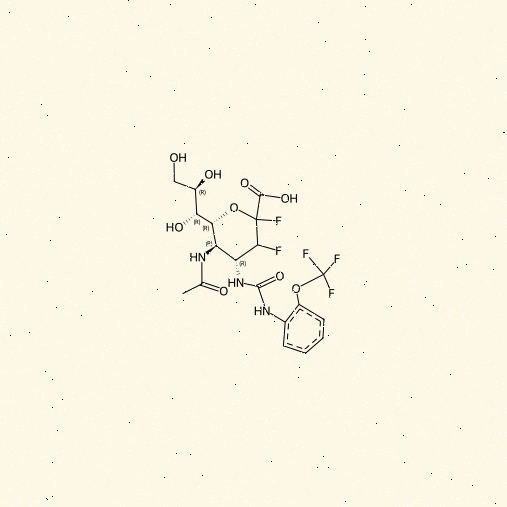 CC(=O)N[C@H]1[C@H]([C@H](O)[C@H](O)CO)OC(F)(C(=O)O)C(F)[C@@H]1NC(=O)Nc1ccccc1OC(F)(F)F